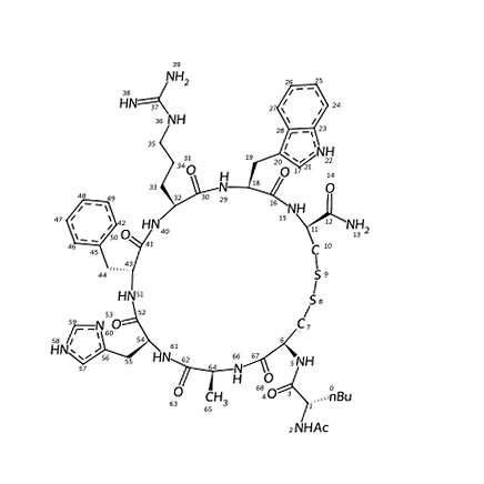 CCCC[C@H](NC(C)=O)C(=O)N[C@@H]1CSSC[C@H](C(N)=O)NC(=O)[C@H](Cc2c[nH]c3ccccc23)NC(=O)[C@H](CCCNC(=N)N)NC(=O)[C@@H](Cc2ccccc2)NC(=O)[C@H](Cc2c[nH]cn2)NC(=O)[C@H](C)NC1=O